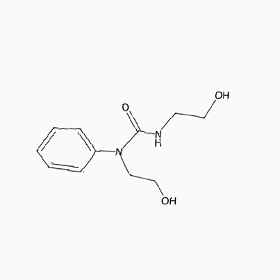 O=C(NCCO)N(CCO)c1[c]cccc1